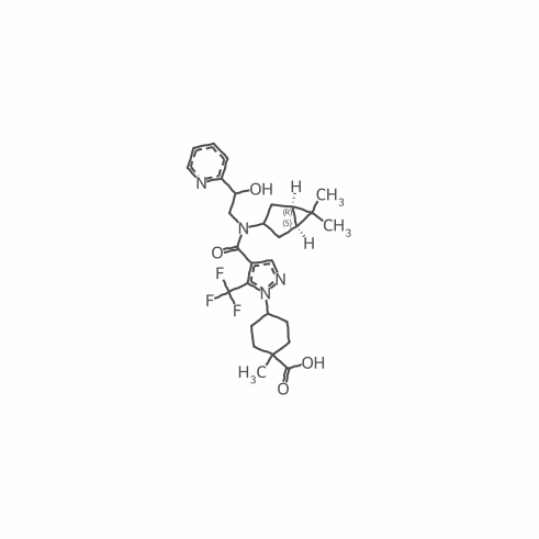 CC1(C(=O)O)CCC(n2ncc(C(=O)N(CC(O)c3ccccn3)C3C[C@@H]4[C@H](C3)C4(C)C)c2C(F)(F)F)CC1